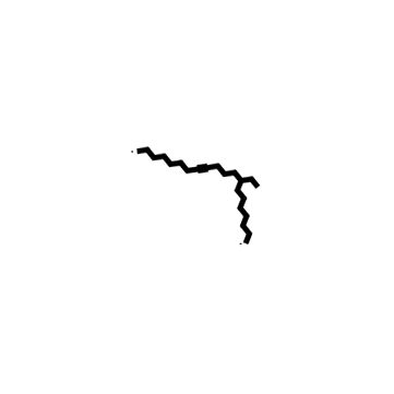 [CH2]CCCCCCC#CCCCC(CC)CCCCCC[CH2]